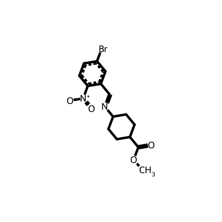 COC(=O)C1CCC(N=Cc2cc(Br)ccc2[N+](=O)[O-])CC1